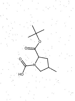 CC1CC(C(=O)OC(C)(C)C)N(C(=O)O)C1